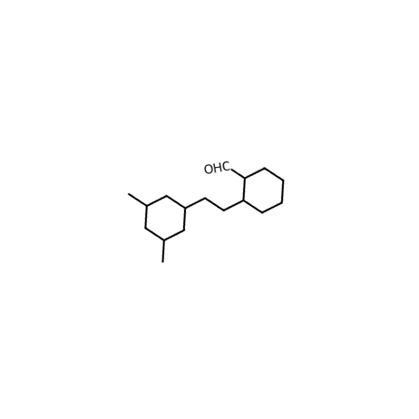 CC1CC(C)CC(CCC2CCCCC2C=O)C1